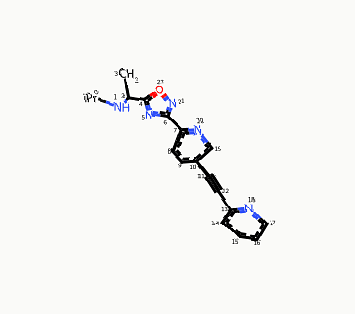 CC(C)NC(C)c1nc(-c2ccc(C#Cc3ccccn3)cn2)no1